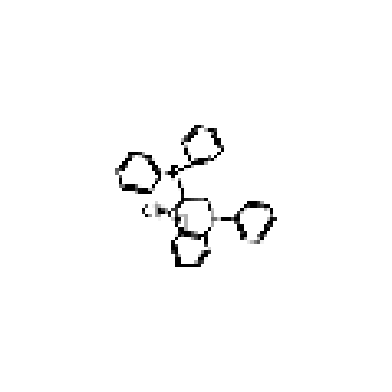 [Cl][Pd]([Cl])[CH](CP(c1ccccc1)c1ccccc1)P(c1ccccc1)c1ccccc1